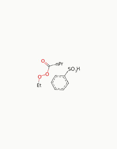 CCCC(=O)OOCC.O=S(=O)(O)c1ccccc1